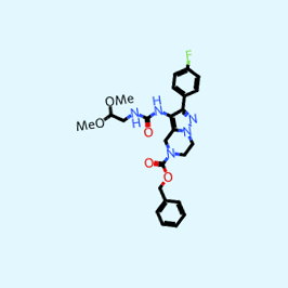 COC(CNC(=O)Nc1c(-c2ccc(F)cc2)nn2c1CN(C(=O)OCc1ccccc1)CC2)OC